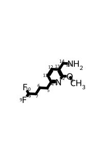 COc1nc(CCCC(F)F)ccc1CN